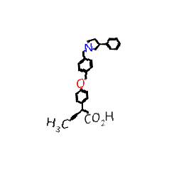 CC#CC(CC(=O)O)c1ccc(OCc2ccc(CN3CCC(c4ccccc4)C3)cc2)cc1